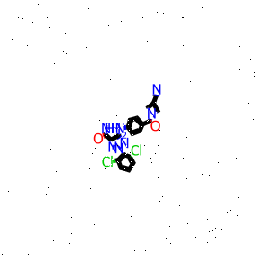 N#CC1CN(C(=O)c2ccc(Nc3nn(-c4c(Cl)cccc4Cl)nc3C(N)=O)cc2)C1